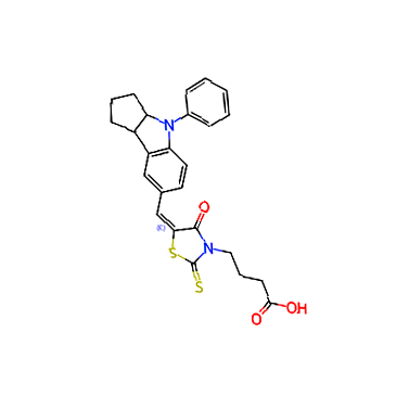 O=C(O)CCCN1C(=O)/C(=C\c2ccc3c(c2)C2CCCC2N3c2ccccc2)SC1=S